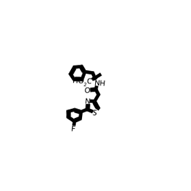 CC(Cc1ccccc1)(NC(=O)Cc1csc(-c2cccc(F)c2)n1)C(=O)O